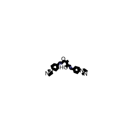 CC(C(=O)/C=C/c1ccc(-n2ccnc2)cc1)C(O)/C=C/c1ccc(-n2ccnc2)cc1